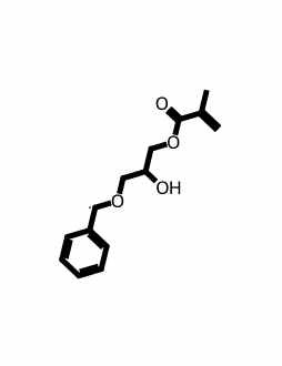 C=C(C)C(=O)OCC(O)CO[CH]c1ccccc1